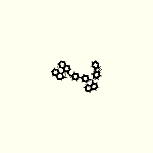 CC1C=Cc2ccccc2C1c1c(Nc2ccc(-c3ccc(N(c4ccc5oc6ccccc6c5c4)c4cccc5ccccc45)cc3)cc2)ccc2c1C=CCC2